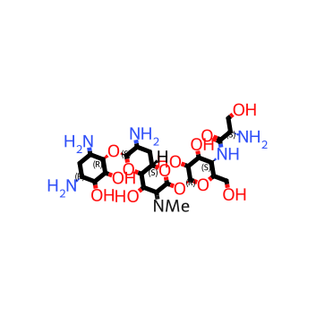 CNC1C(O[C@H]2OC(CO)[C@@H](NC(=O)[C@@H](N)CO)C(O)C2O)O[C@H]2CC(N)[C@@H](O[C@@H]3C(N)C[C@@H](N)C(O)C3O)OC2C1O